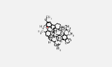 CC[C@H]1c2c3c(c(C)c(OC(C)=O)c2[C@]2(OC(=O)[C@]4(CS2)NCCc2c4[nH]c4ccc(OC)cc24)[C@H]2[C@@H]4N[C@H](Cc5cc(C)c(OC)c(O)c54)[C@H](O)N12)OCO3